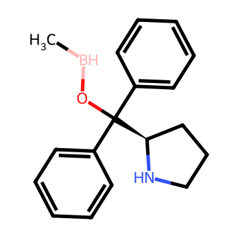 CBOC(c1ccccc1)(c1ccccc1)[C@H]1CCCN1